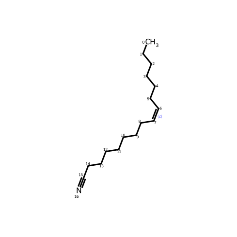 CCCCCC/C=C\CCCCCCCC#N